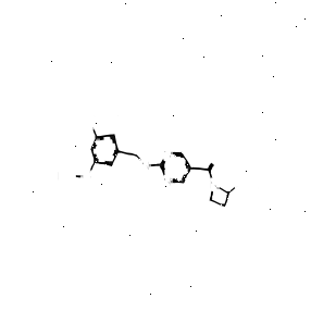 COc1cc(CNc2ncc(C(=O)N3CCC3C)cn2)cc(OC)c1